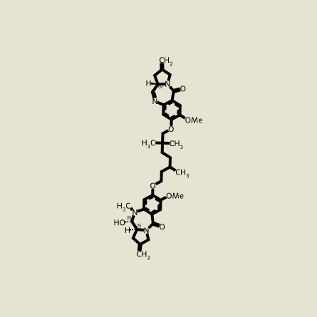 C=C1C[C@H]2C=Nc3cc(OCC(C)(C)CCC(C)CCOc4cc5c(cc4OC)C(=O)N4CC(=C)C[C@H]4[C@H](O)N5C)c(OC)cc3C(=O)N2C1